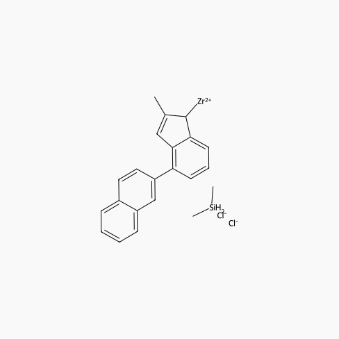 CC1=Cc2c(-c3ccc4ccccc4c3)cccc2[CH]1[Zr+2].C[SiH2]C.[Cl-].[Cl-]